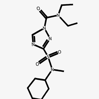 CCN(CC)C(=O)n1cnc(S(=O)(=O)N(C)C2CCCCC2)n1